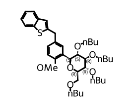 CCCCOC[C@H]1O[C@@H](c2cc(Cc3cc4ccccc4s3)ccc2OC)[C@H](OCCCC)[C@@H](OCCCC)[C@@H]1OCCCC